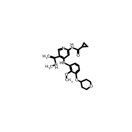 C=C(NC)c1cnc(NC(=O)C2CC2)cc1Nc1cccc(OC2CCOCC2)c1OC